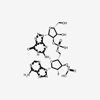 Nc1nc2c(nnn2[C@@H]2S[C@H](CO)[C@@H](O)[C@H]2OP(=O)(S)OC[C@H]2O[C@@H](n3nnc4c(N)ncnc43)[C@@H](F)[C@@H]2O[PH](=O)O)c(=O)[nH]1